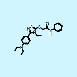 CCN(CC)c1ccc(-c2nnc(SCC(=O)NC3C=CC=CC3)n2CC)cc1